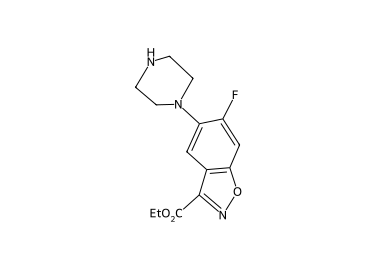 CCOC(=O)c1noc2cc(F)c(N3CCNCC3)cc12